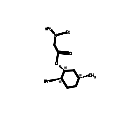 CCCN(CC)CC(=O)O[C@@H]1C[C@H](C)CC[C@H]1C(C)C